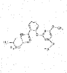 COc1cc(OC)nc(Oc2ccccc2C(=O)N[C@@H](CC(C)C)C(=O)O)n1